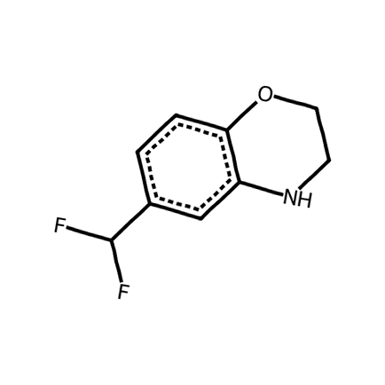 FC(F)c1ccc2c(c1)NCCO2